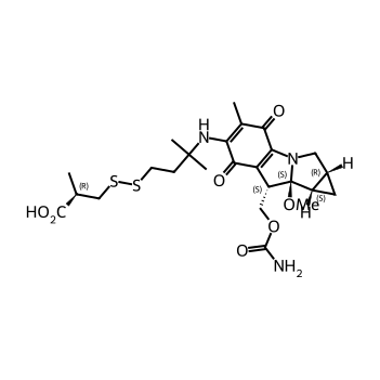 CO[C@@]12[C@H](COC(N)=O)C3=C(C(=O)C(C)=C(NC(C)(C)CCSSC[C@H](C)C(=O)O)C3=O)N1C[C@@H]1C[C@@H]12